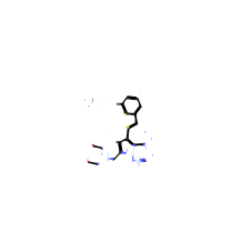 COc1cc(C)cc2cc(-c3c(C=O)c(CN4CCOCC4)n4ncnc(N)c34)sc12